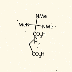 CNC(NC)(NC)C(=O)O.NCC(=O)O